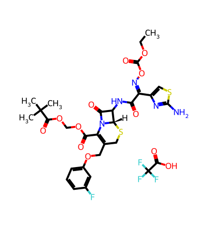 CCOC(=O)ON=C(C(=O)NC1C(=O)N2C(C(=O)OCOC(=O)C(C)(C)C)=C(COc3cccc(F)c3)CS[C@@H]12)c1csc(N)n1.O=C(O)C(F)(F)F